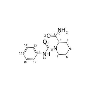 NC(=O)C1CCCCN1C(=O)Nc1ccccc1